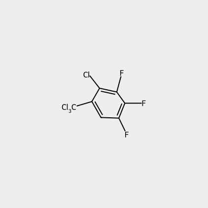 Fc1cc(C(Cl)(Cl)Cl)c(Cl)c(F)c1F